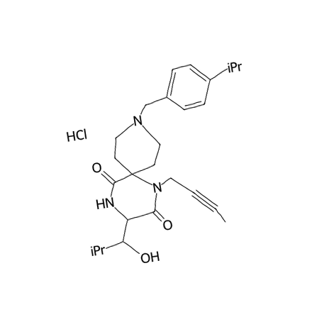 CC#CCN1C(=O)C(C(O)C(C)C)NC(=O)C12CCN(Cc1ccc(C(C)C)cc1)CC2.Cl